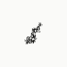 Cc1cc(Cn2cc3c(C(=O)NC(C)C)nccc3n2)ncc1OCC1CC1